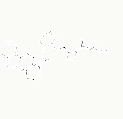 CC#CC(=O)N1CC[C@H]1COc1cnccc1-c1[nH]c2c(c1Nc1cccc(Cl)c1OC)C(=O)CCC2